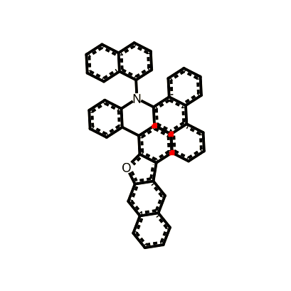 c1ccc(N(c2cccc3ccccc23)c2cc3ccccc3c3ccccc23)c(-c2cccc3c2oc2cc4ccccc4cc23)c1